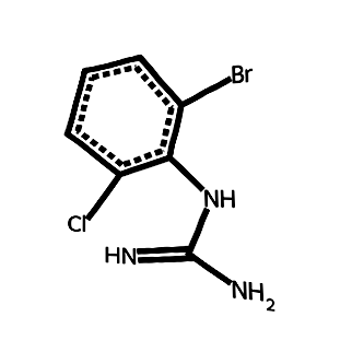 N=C(N)Nc1c(Cl)cccc1Br